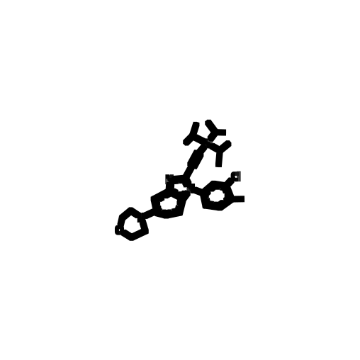 Cc1ccc(-n2c(C#C[Si](C(C)C)(C(C)C)C(C)C)nc3cc(N4CCOCC4)ccc32)cc1Cl